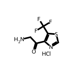 Cl.NCC(=O)c1ncsc1C(F)(F)F